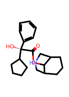 O=C(OC1C2CCCC1CNC2)[C@](O)(c1ccccc1)C1CCCC1